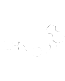 CCN(CC)S(=O)(=O)NC[C@H]1CC[C@H](Nc2nc3c(s2)CCSc2ccccc2-3)CC1